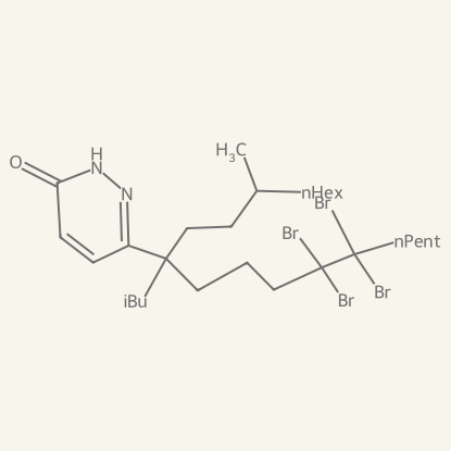 CCCCCCC(C)CCC(CCCC(Br)(Br)C(Br)(Br)CCCCC)(c1ccc(=O)[nH]n1)C(C)CC